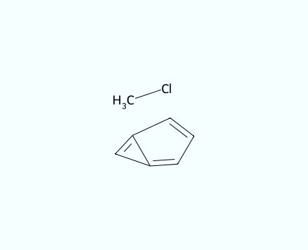 CCl.c1cc2cc-2c1